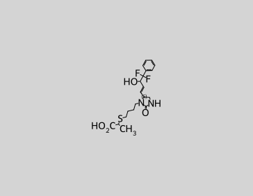 CC(SCCCCN1C(=O)NC[C@@H]1C=CC(O)C(F)(F)c1ccccc1)C(=O)O